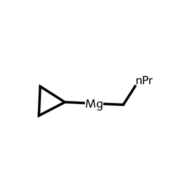 CCC[CH2][Mg][CH]1CC1